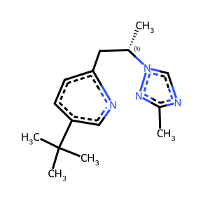 Cc1ncn([C@@H](C)Cc2ccc(C(C)(C)C)cn2)n1